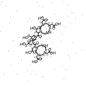 O=C(O)CC(C(=O)N(CCN(CC(O)CO)C(=O)C(CC(=O)O)N1CCNCCN(CC(=O)O)CCN(CC(=O)O)CC1)CC(O)CO)N1CCNCCN(CC(=O)O)CCN(CC(=O)O)CC1